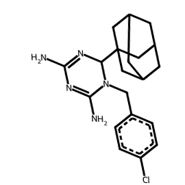 NC1=NC(C23CC4CC(CC(C4)C2)C3)N(Cc2ccc(Cl)cc2)C(N)=N1